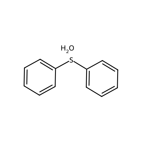 O.c1ccc(Sc2ccccc2)cc1